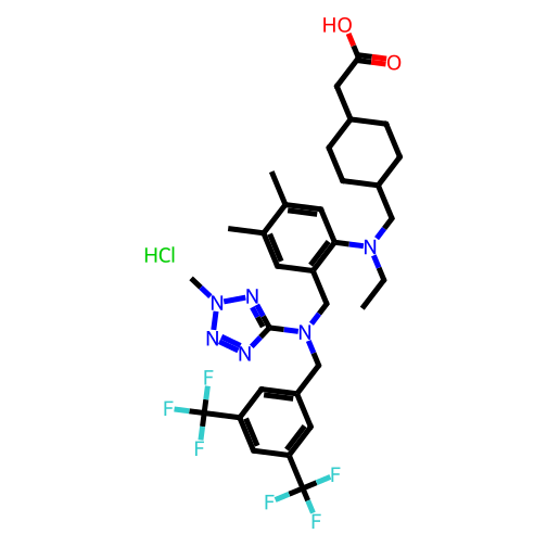 CCN(CC1CCC(CC(=O)O)CC1)c1cc(C)c(C)cc1CN(Cc1cc(C(F)(F)F)cc(C(F)(F)F)c1)c1nnn(C)n1.Cl